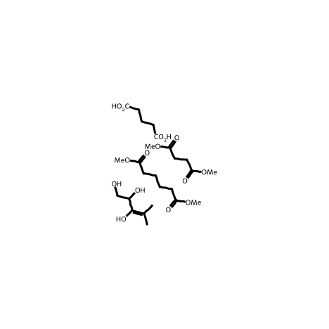 CC(C)=C(O)C(O)CO.COC(=O)CCC(=O)OC.COC(=O)CCCCC(=O)OC.O=C(O)CCCC(=O)O